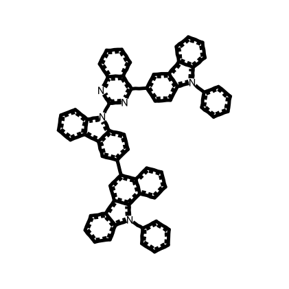 c1ccc(-n2c3ccccc3c3cc(-c4nc(-n5c6ccccc6c6cc(-c7cc8c9ccccc9n(-c9ccccc9)c8c8ccccc78)ccc65)nc5ccccc45)ccc32)cc1